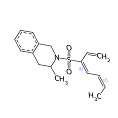 C=C/C(=C\C=C/C)S(=O)(=O)N1Cc2ccccc2CC1C